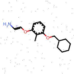 Cc1c(O/C=C/N)cccc1OCC1CCCCC1